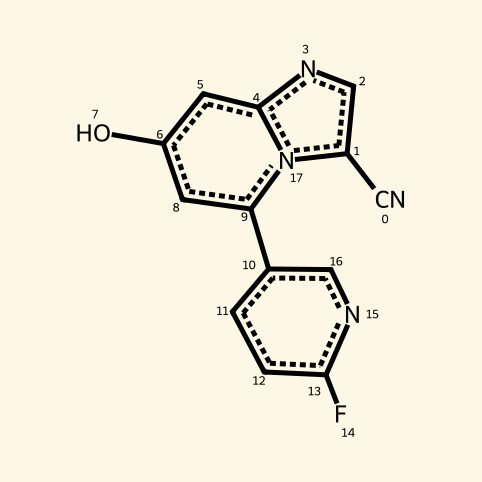 N#Cc1cnc2cc(O)cc(-c3ccc(F)nc3)n12